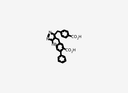 CCCCc1ncnc(Cc2ccc(C(=O)O)cc2)c1Cc1ccc(-c2ccccc2)c(C(=O)O)c1